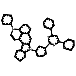 C1=CN(c2ccccc2)c2cccc3cc4c(c1c23)c1ccccc1n4-c1cccc(-c2nc(-c3ccccc3)cc(-c3ccccc3)n2)c1